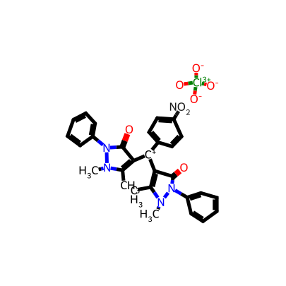 Cc1c([C+](c2ccc([N+](=O)[O-])cc2)c2c(C)n(C)n(-c3ccccc3)c2=O)c(=O)n(-c2ccccc2)n1C.[O-][Cl+3]([O-])([O-])[O-]